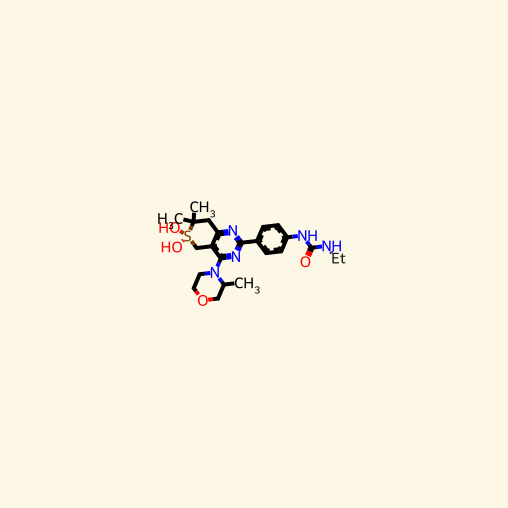 CCNC(=O)Nc1ccc(-c2nc3c(c(N4CCOCC4C)n2)CS(O)(O)C(C)(C)C3)cc1